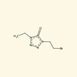 CCn1nnn(CCBr)c1=O